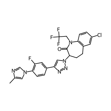 Cc1cn(-c2ccc(-c3cn(C4CCc5cc(Cl)ccc5N(CC(F)(F)F)C4=O)nn3)cc2F)cn1